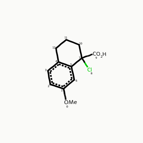 COc1ccc2c(c1)C(Cl)(C(=O)O)CCC2